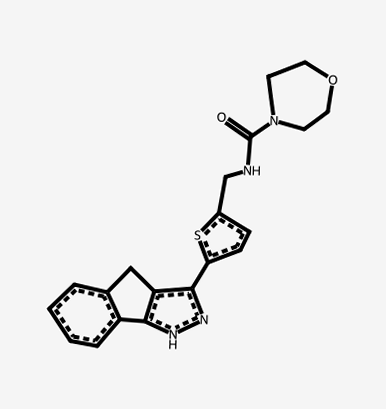 O=C(NCc1ccc(-c2n[nH]c3c2Cc2ccccc2-3)s1)N1CCOCC1